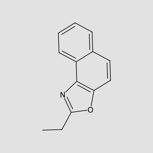 CCc1nc2c(ccc3ccccc32)o1